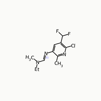 CCN(C)/C=N/c1cc(C(F)F)c(Cl)nc1C